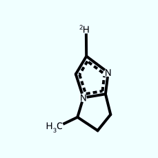 [2H]c1cn2c(n1)CCC2C